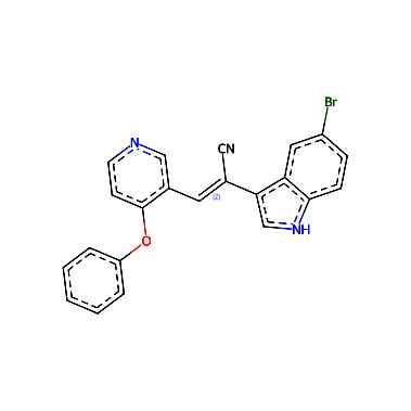 N#C/C(=C\c1cnccc1Oc1ccccc1)c1c[nH]c2ccc(Br)cc12